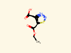 CCOC(=O)c1snnc1C(=O)O